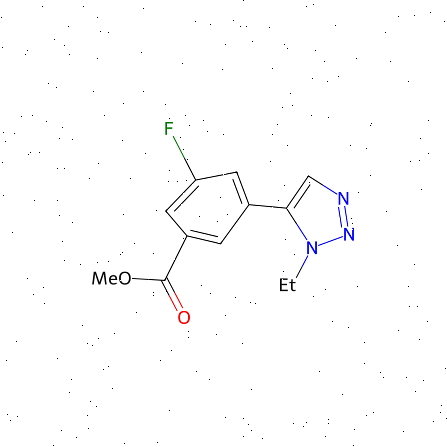 CCn1nncc1-c1cc(F)cc(C(=O)OC)c1